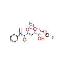 COC(=C[C@H]1OC[C@@H](OC)[C@H]1O)C(=O)Nc1ccccc1